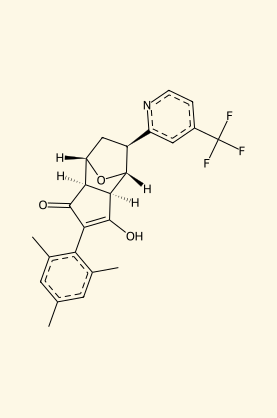 Cc1cc(C)c(C2=C(O)[C@@H]3[C@@H]4O[C@@H](C[C@H]4c4cc(C(F)(F)F)ccn4)[C@@H]3C2=O)c(C)c1